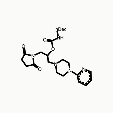 CCCCCCCCCCNC(=O)OC(CN1CCN(c2ccccn2)CC1)CN1C(=O)CCC1=O